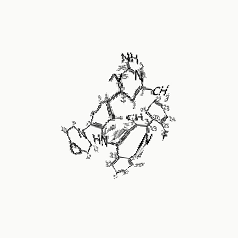 Cc1cc(-c2ccc(N3CCOCC3)c(Nc3c(C)c(-c4ccccc4F)nc4ccccc34)c2)nc(N)n1